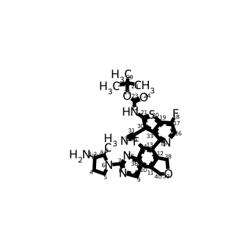 C[C@H]1[C@@H](N)CCN1c1ncc2c3c(c(-c4ncc(F)c5sc(NC(=O)OC(C)(C)C)c(C#N)c45)c(F)c2n1)COC3